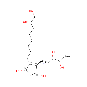 CCCCCCC(O)C(O)/C=C/[C@@H]1[C@@H](CCCCCCC(=O)CO)[C@@H](O)C[C@H]1O